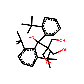 CC(C)(C)c1ccccc1C(O)(c1c(C(C)(C)C)cccc1C(C)(C)C)C(CO)(CO)CO